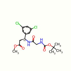 COC(=O)C[C@H](NC(=O)CNC(=O)OC(C)(C)C)c1cc(Cl)cc(Cl)c1